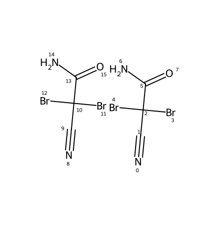 N#CC(Br)(Br)C(N)=O.N#CC(Br)(Br)C(N)=O